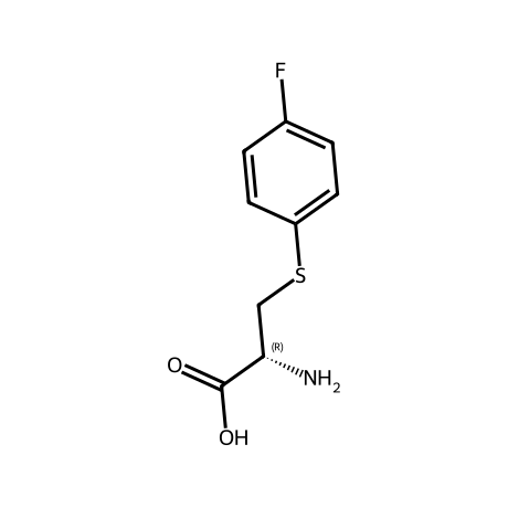 N[C@@H](CSc1ccc(F)cc1)C(=O)O